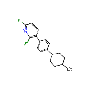 CCC1CCC(c2ccc(-c3ccc(F)nc3F)cc2)CC1